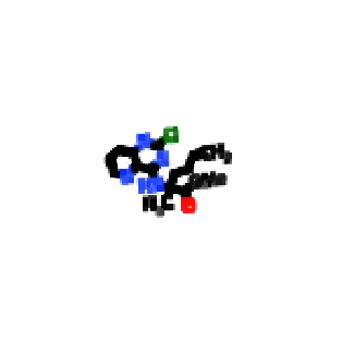 C=CCC[C@@](C)(Nc1nc(Cl)nc2cccnc12)C(=O)OC